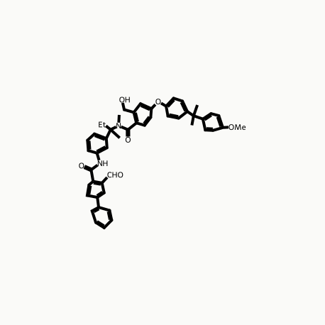 CCC(C)(c1cccc(NC(=O)c2ccc(-c3ccccc3)cc2C=O)c1)N(C)C(=O)c1ccc(Oc2ccc(C(C)(C)c3ccc(OC)cc3)cc2)cc1CO